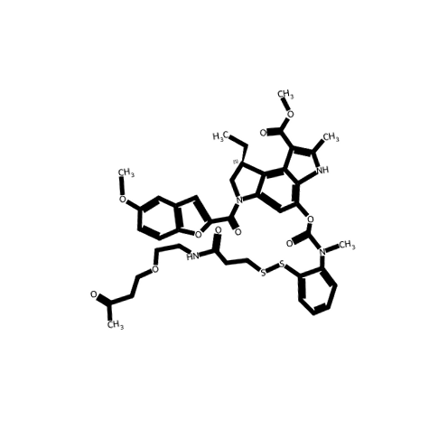 CC[C@@H]1CN(C(=O)c2cc3cc(OC)ccc3o2)c2cc(OC(=O)N(C)c3ccccc3SSCCC(=O)NCCOCCC(C)=O)c3[nH]c(C)c(C(=O)OC)c3c21